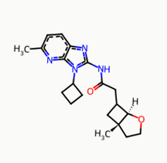 Cc1ccc2nc(NC(=O)CC3C[C@@]4(C)CCO[C@H]34)n(C3CCC3)c2n1